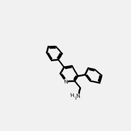 NCc1ncc(-c2ccccc2)cc1-c1ccccc1